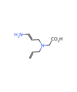 C=CCN(CC=CN)CC(=O)O